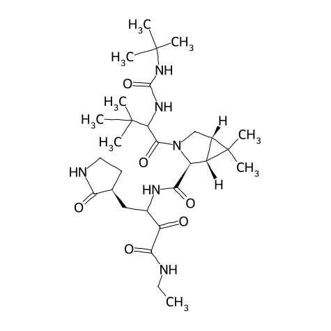 CCNC(=O)C(=O)C(C[C@@H]1CCNC1=O)NC(=O)[C@@H]1[C@@H]2[C@H](CN1C(=O)C(NC(=O)NC(C)(C)C)C(C)(C)C)C2(C)C